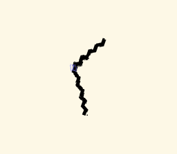 [CH2]CCCCCCC/C=C\CC=CCC=CCC